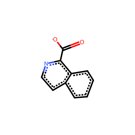 [O]C(=O)c1nccc2ccccc12